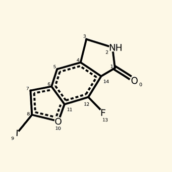 O=C1NCc2cc3cc(I)oc3c(F)c21